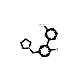 Cc1cccc(-c2cc(CN3CCCC3)ccc2Cl)c1